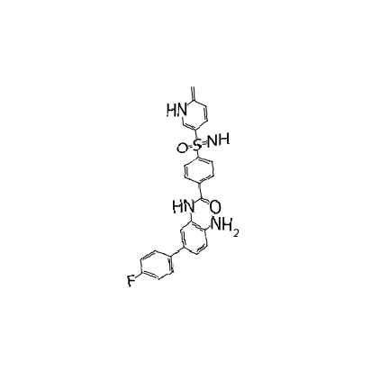 C=C1C=CC(S(=N)(=O)c2ccc(C(=O)Nc3cc(-c4ccc(F)cc4)ccc3N)cc2)=CN1